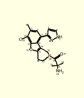 Cc1cc(-c2cc[nH]n2)c2c3c(oc2c1Cl)CCN(C(=O)C(C)(C)N)C3